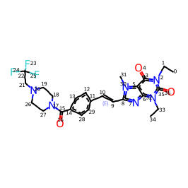 CCn1c(=O)c2c(nc(/C=C/c3ccc(C(=O)N4CCN(CC(F)(F)F)CC4)cc3)n2C)n(CC)c1=O